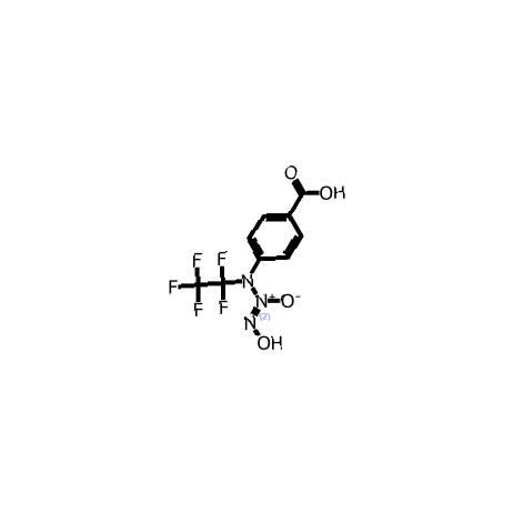 O=C(O)c1ccc(N(/[N+]([O-])=N/O)C(F)(F)C(F)(F)F)cc1